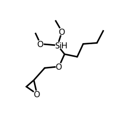 CCCCC(OCC1CO1)[SiH](OC)OC